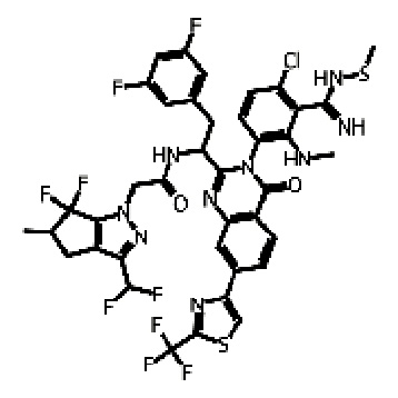 CNc1c(-n2c(C(Cc3cc(F)cc(F)c3)NC(=O)Cn3nc(C(F)F)c4c3C(F)(F)C(C)C4)nc3cc(-c4csc(C(F)(F)F)n4)ccc3c2=O)ccc(Cl)c1C(=N)NSC